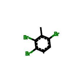 Cc1c(Br)c[c]c(Br)c1Br